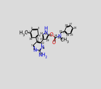 Cc1cccc(-c2cnc(N)nc2-c2c[nH]c(OC(=O)N(C)Cc3ccccc3)c2)c1